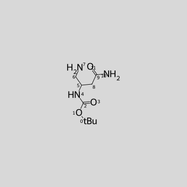 CC(C)(C)OC(=O)NC(CN)CC(N)=O